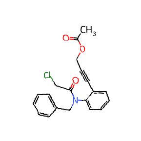 CC(=O)OCC#Cc1ccccc1N(Cc1ccccc1)C(=O)CCl